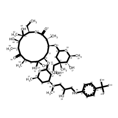 CC[C@H]1OC(=O)[C@H](C)[C@@H](OC2C[C@@](C)(CC)[C@@H](O)[C@H](C)O2)C[C@@H](OC2O[C@H](C)C[C@H](N(C)CC(O)CNc3ccc(C(F)(F)F)cc3)[C@H]2O)[C@](C)(O)C[C@@H](C)C(=O)[C@H](C)[C@@H](O)[C@]1(C)O